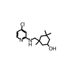 CC1(C)CC(O)CC(C)(CNc2cc(Cl)ccn2)C1